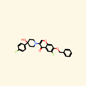 O=c1c(N2CCC(O)(c3ccc(F)cc3)CC2)coc2cc(OCc3ccccc3)c(F)cc12